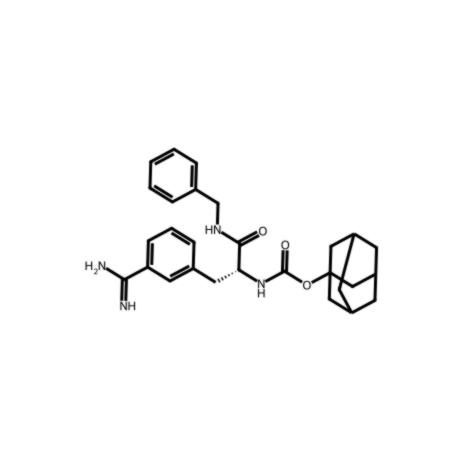 N=C(N)c1cccc(C[C@@H](NC(=O)OC23CC4CC(CC(C4)C2)C3)C(=O)NCc2ccccc2)c1